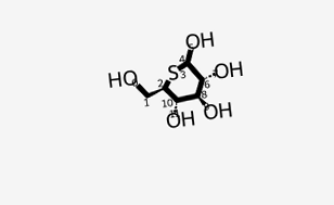 OC[C@H]1SC(O)[C@H](O)[C@@H](O)[C@@H]1O